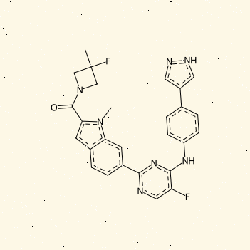 Cn1c(C(=O)N2CC(C)(F)C2)cc2ccc(-c3ncc(F)c(Nc4ccc(-c5cn[nH]c5)cc4)n3)cc21